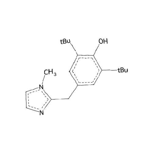 Cn1ccnc1Cc1cc(C(C)(C)C)c(O)c(C(C)(C)C)c1